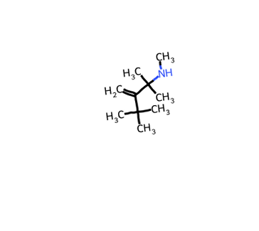 C=C(C(C)(C)C)C(C)(C)NC